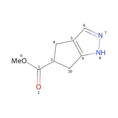 COC(=O)C1Cc2cn[nH]c2C1